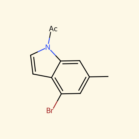 CC(=O)n1ccc2c(Br)cc(C)cc21